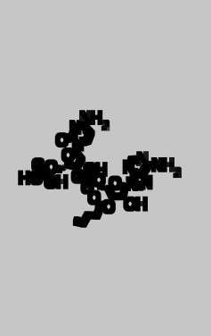 C=CCCC(=O)O[C@H]1[C@@H](O)[C@H](n2cnc3c(N)ncnc32)O[C@H]1COP(=O)(O)O[C@H]1C[C@H](n2ccc(N)nc2=O)O[C@H]1COP(=O)(O)O